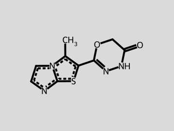 Cc1c(C2=NNC(=O)CO2)sc2nccn12